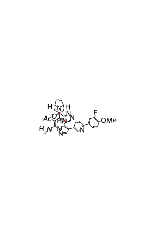 COc1ccc(-c2ccc(-c3cnn4c(N)c(C(C)=O)c([C@H]5C[C@H]6CC[C@@H](C5)N6C(=O)c5nnc[nH]5)nc34)cn2)cc1F